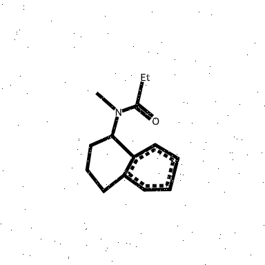 CCC(=O)N(C)C1CCCc2ccccc21